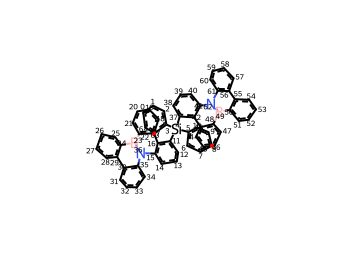 c1ccc([Si](c2ccccc2)(c2cccc3c2-c2ccccc2B2c4ccccc4-c4ccccc4N23)c2cccc3c2-c2ccccc2B2c4ccccc4-c4ccccc4N23)cc1